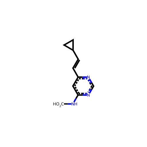 O=C(O)Nc1cc(/C=C/C2CC2)ncn1